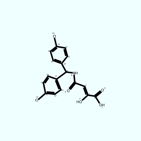 O=C(C=C(O)C(=O)O)NC(c1ccc(Cl)cc1)c1ccc(Cl)cc1